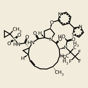 C[C@@H]1CCC=C[C@@H]2C[C@@]2(C(=O)NS(=O)(=O)C2(C)CC2)NC(=O)[C@@H]2C[C@@H](Oc3cc(-c4nccs4)ccn3)CN2C(=O)[C@@H](N(C(=O)O)C(C)(C)C(F)(F)F)[C@H](C)C1